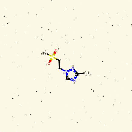 CCCS(=O)(=O)CCn1cnc(C)n1